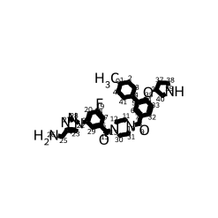 CC1CCC(c2cc(C(=O)N3CCN(C(=O)c4cc(F)cc(-n5cc(CN)nn5)c4)CC3)ccc2O[C@H]2CCNC2)CC1